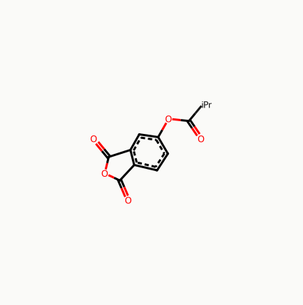 CC(C)C(=O)Oc1ccc2c(c1)C(=O)OC2=O